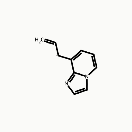 C=C[CH]c1cccn2ccnc12